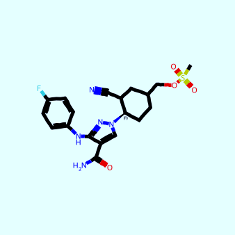 CS(=O)(=O)OCC1CC[C@@H](n2cc(C(N)=O)c(Nc3ccc(F)cc3)n2)C(C#N)C1